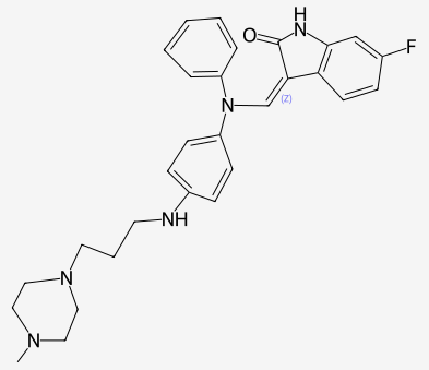 CN1CCN(CCCNc2ccc(N(/C=C3\C(=O)Nc4cc(F)ccc43)c3ccccc3)cc2)CC1